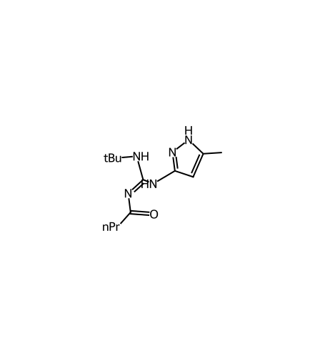 CCCC(=O)/N=C(\Nc1cc(C)[nH]n1)NC(C)(C)C